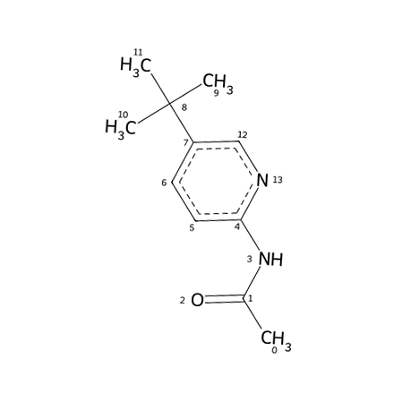 CC(=O)Nc1ccc(C(C)(C)C)cn1